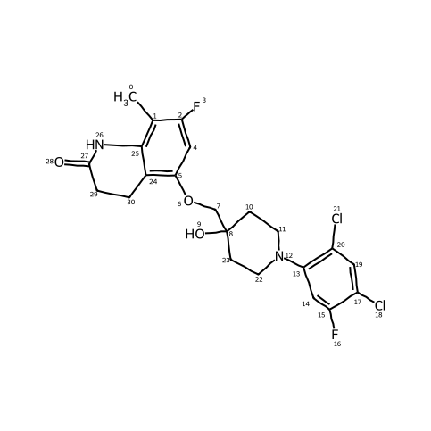 Cc1c(F)cc(OCC2(O)CCN(c3cc(F)c(Cl)cc3Cl)CC2)c2c1NC(=O)CC2